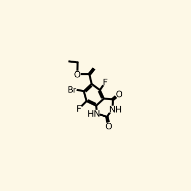 C=C(OCC)c1c(Br)c(F)c2[nH]c(=O)[nH]c(=O)c2c1F